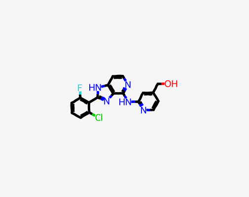 OCc1ccnc(Nc2nccc3[nH]c(-c4c(F)cccc4Cl)nc23)c1